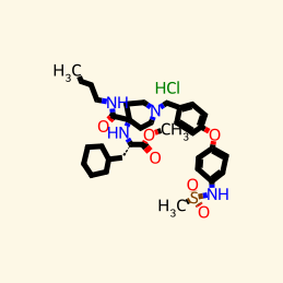 CCCCNC(=O)C1(N[C@@H](CC2CCCCC2)C(=O)OC)CCN(Cc2ccc(Oc3ccc(NS(C)(=O)=O)cc3)cc2)CC1.Cl